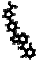 Cc1cccc(C)c1Nc1ncnc2c1cnn2-c1ccc(N2CCC(N(C)C)C2)cc1